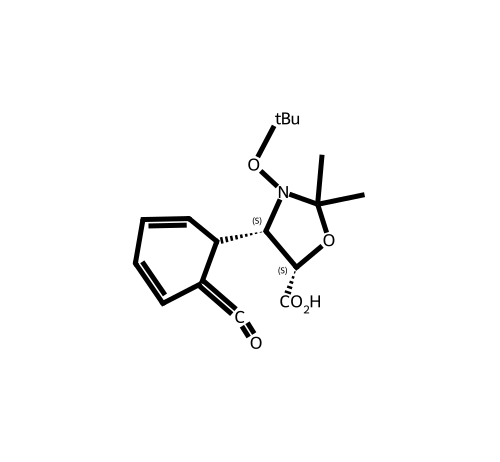 CC(C)(C)ON1[C@@H](C2C=CC=CC2=C=O)[C@@H](C(=O)O)OC1(C)C